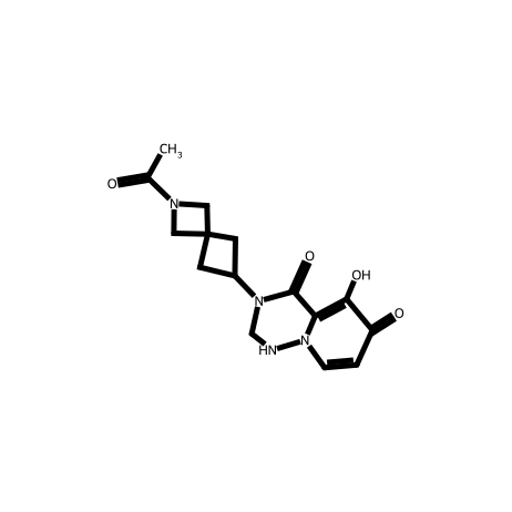 CC(=O)N1CC2(CC(N3CNn4ccc(=O)c(O)c4C3=O)C2)C1